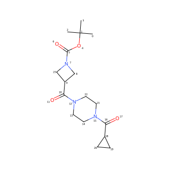 CC(C)(C)OC(=O)N1CC(C(=O)N2CCN(C(=O)C3CC3)CC2)C1